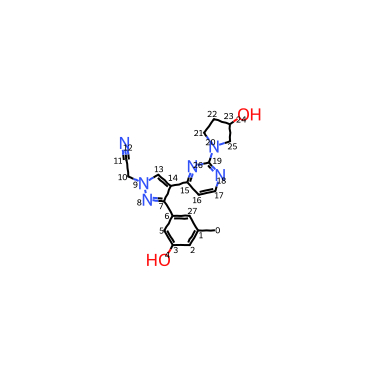 Cc1cc(O)cc(-c2nn(CC#N)cc2-c2ccnc(N3CCC(O)C3)n2)c1